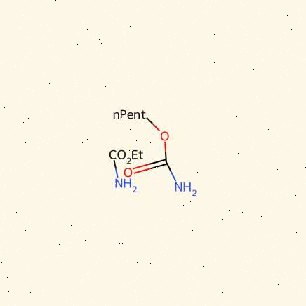 CCCCCOC(N)=O.CCOC(N)=O